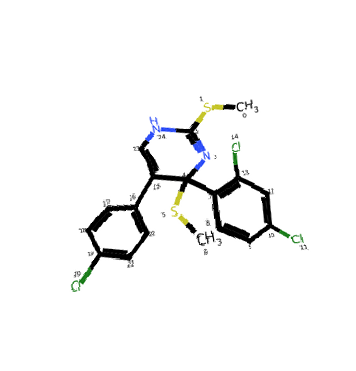 CSC1=NC(SC)(c2ccc(Cl)cc2Cl)C(c2ccc(Cl)cc2)=CN1